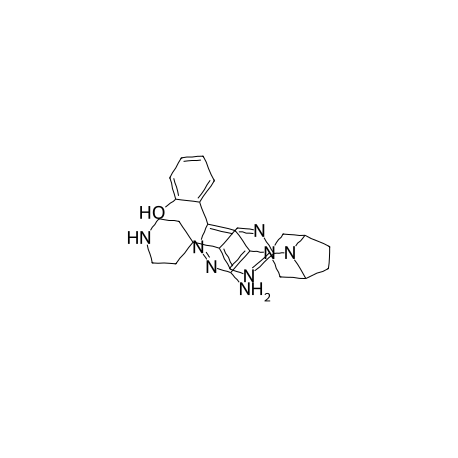 Nc1nnc(-c2ccccc2O)cc1N1CC2CCC(C1)N2c1ncc(C2CCNCC2)cn1